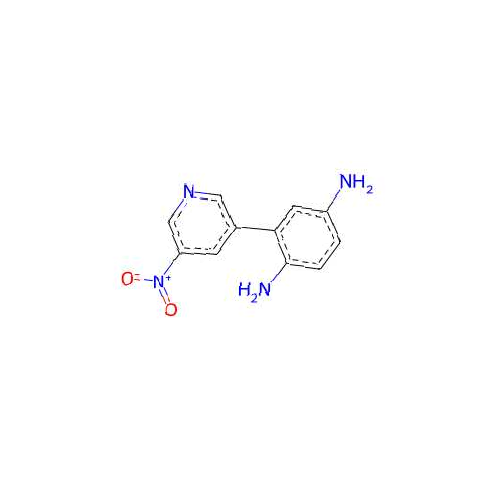 Nc1ccc(N)c(-c2cncc([N+](=O)[O-])c2)c1